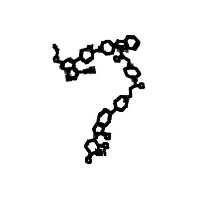 CCOc1cc(-c2ccc(N3CCC(Cc4ccccc4)(NC(=O)CN4CCN(C(=O)CCN5CCC(c6ccc7c(c6)C(=O)N(C6CCC(=O)NC6=O)C7)CC5)CC4)CC3)nc2)c2c(C#N)cnn2c1